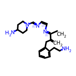 C=C\C(=N/C=C\N=C\N1CCC(N)CC1)C(=C)Cc1ccccc1CCN